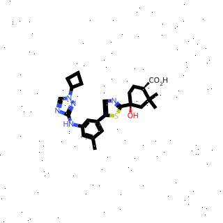 Cc1cc(Nc2ncn(C3CCC3)n2)cc(-c2cnc([C@]3(O)CC[C@@H](C(=O)O)C(C)(C)C3)s2)c1